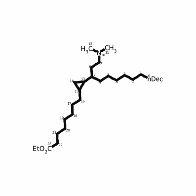 CCCCCCCCCCCCCCCCC(CCN(C)C)C1CC1CCCCCCCC(=O)OCC